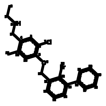 CCNCc1cc(Cl)c(OCc2cccc(-c3ccccc3)c2Br)cc1C